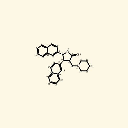 O=C1O[C@H](c2ccc3ccccc3c2)[C@H](c2ccc3ccccc3c2)C1CN1CCCCC1